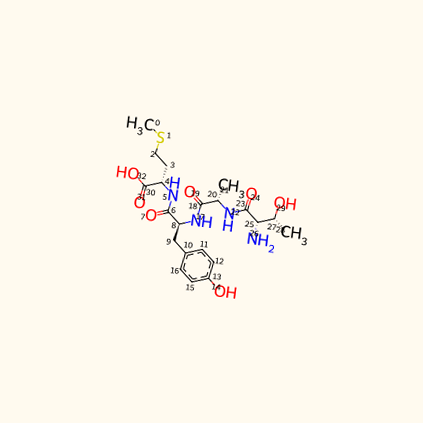 CSCC[C@H](NC(=O)[C@H](Cc1ccc(O)cc1)NC(=O)[C@H](C)NC(=O)[C@@H](N)[C@@H](C)O)C(=O)O